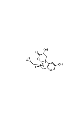 O=C1OC2[C@H]3Cc4ccc(O)cc4[C@@]2(CCN3CC2CC2)CC1O